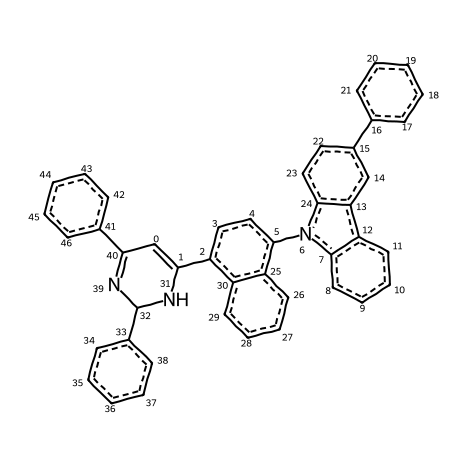 C1=C(c2ccc(-n3c4ccccc4c4cc(-c5ccccc5)ccc43)c3ccccc23)NC(c2ccccc2)N=C1c1ccccc1